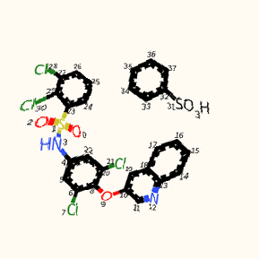 O=S(=O)(Nc1cc(Cl)c(Oc2cnc3ccccc3c2)c(Cl)c1)c1cccc(Cl)c1Cl.O=S(=O)(O)c1ccccc1